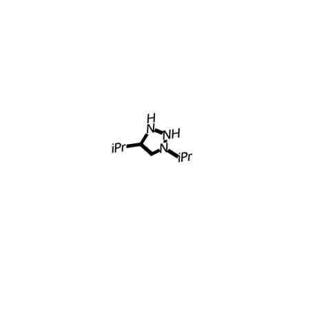 CC(C)C1CN(C(C)C)NN1